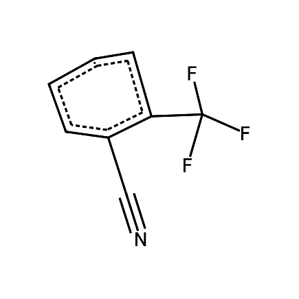 N#Cc1cc[c]cc1C(F)(F)F